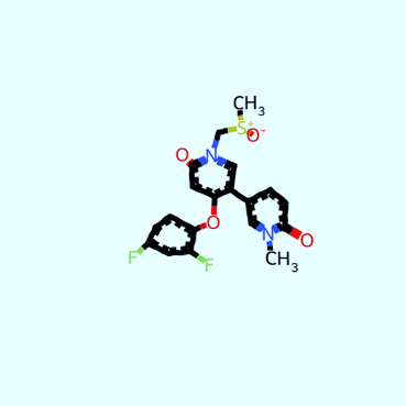 Cn1cc(-c2cn(C[S+](C)[O-])c(=O)cc2Oc2ccc(F)cc2F)ccc1=O